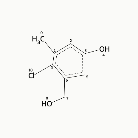 Cc1cc(O)cc(CO)c1Cl